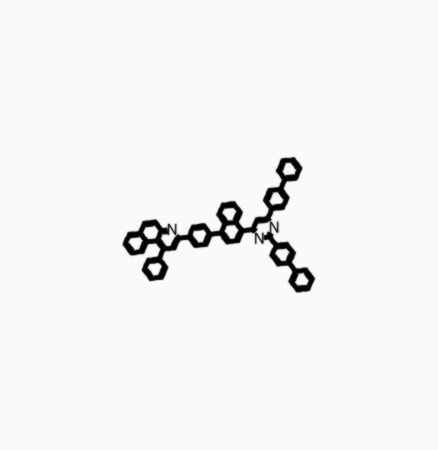 c1ccc(-c2ccc(-c3cc(-c4ccc(-c5ccc(-c6cc(-c7ccccc7)c7c(ccc8ccccc87)n6)cc5)c5ccccc45)nc(-c4ccc(-c5ccccc5)cc4)n3)cc2)cc1